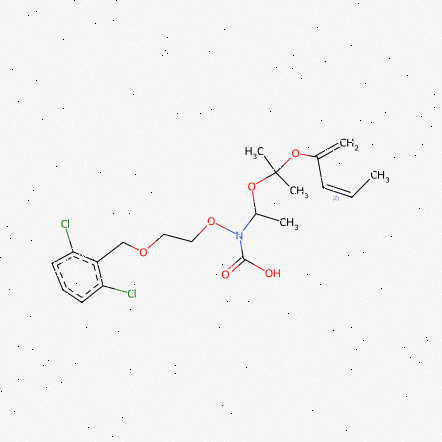 C=C(/C=C\C)OC(C)(C)OC(C)N(OCCOCc1c(Cl)cccc1Cl)C(=O)O